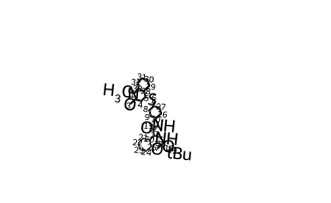 Cn1c(=O)cc(Sc2ccc(NC(=O)[C@@H](NC(=O)OC(C)(C)C)C3CCCCC3)cc2)c2ccccc21